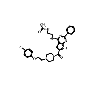 CC(=O)NCCNc1nc(-c2ccccc2)nc2[nH]c(C(=O)N3CCN(CCOc4ccc(Cl)cc4)CC3)cc12